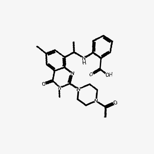 CC(=O)N1CCN(c2nc3c(C(C)Nc4ccccc4C(=O)O)cc(C)cc3c(=O)n2C)CC1